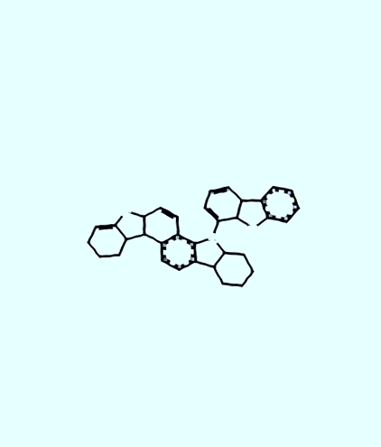 C1=CC2c3ccccc3SC2C(N2c3c(ccc4c3C=CC3OC5=CCCCC5C43)C3CCCCC32)=C1